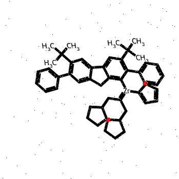 CC(C)(C)c1cc2c(cc1-c1ccccc1)Cc1c-2cc(C(C)(C)C)c(-c2ccccc2)[c]1[Zr]([C]1=CC=CC1)=[C](CC1CCCC1)CC1CCCC1